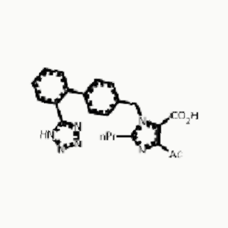 CCCc1nc(C(C)=O)c(C(=O)O)n1Cc1ccc(-c2ccccc2-c2nnn[nH]2)cc1